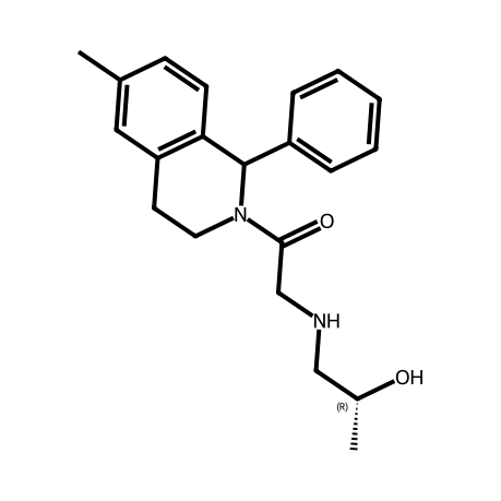 Cc1ccc2c(c1)CCN(C(=O)CNC[C@@H](C)O)C2c1ccccc1